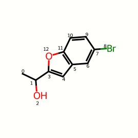 CC(O)c1cc2cc(Br)ccc2o1